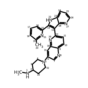 CNC1CCN(c2cnc3ccc(-c4c(-c5cccc(C)n5)[nH]c5cccnc45)nc3c2)CC1